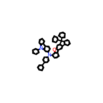 c1ccc(-c2ccc(N(c3ccc4c5ccccc5n(-c5ccccc5)c4c3)c3cccc4c3oc3cc5c(cc34)-c3ccccc3C5(c3ccccc3)c3ccccc3)cc2)cc1